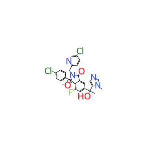 CO[C@]1(c2ccc(Cl)cc2)c2c(F)cc(C(C)(O)c3cncn3C)cc2C(=O)N1Cc1ccc(Cl)cn1